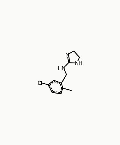 Cc1ccc(Cl)cc1CNC1=NCCN1